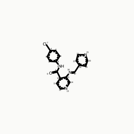 O=C(Nc1ccc(Cl)cc1)c1ccncc1N=Cc1ccncc1